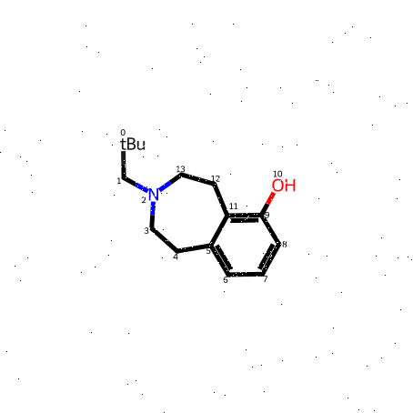 CC(C)(C)CN1CCc2cccc(O)c2CC1